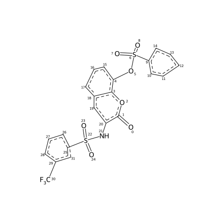 O=c1oc2c(OS(=O)(=O)c3ccccc3)cccc2cc1NS(=O)(=O)c1cccc(C(F)(F)F)c1